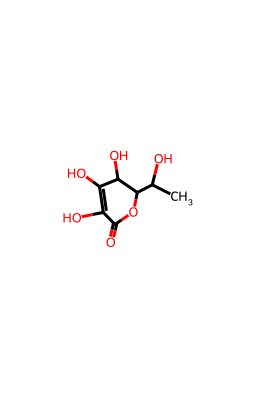 CC(O)C1OC(=O)C(O)=C(O)C1O